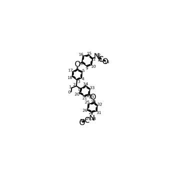 CCC(c1ccc(Oc2ccc(N=C=O)cc2)cc1)c1ccc(Oc2ccc(N=C=O)cc2)cc1